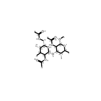 CO[C@@H]1OC(C)[C@H](C)[C@H](O[C@H]2O[C@@H](COC(C)=O)[C@@H](C)C(C)C2OC(C)=O)C1OC(C)=O